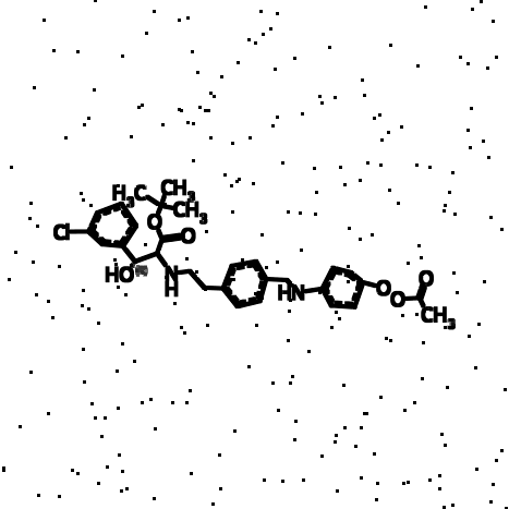 CC(=O)OOc1ccc(NCc2ccc(CCNC(C(=O)OC(C)(C)C)[C@H](O)c3cccc(Cl)c3)cc2)cc1